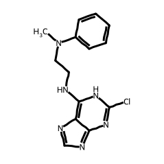 CN(CCNc1[nH]c(Cl)nc2ncnc1-2)c1ccccc1